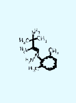 Cc1cccc(C)c1N(N)/C=C(\N)C(C)(C)N